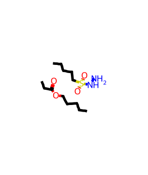 CCCCCOC(=O)CC.CCCCCS(=O)(=O)NN